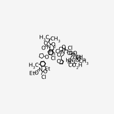 CC(C)=C1OC(=O)N(c2cc(OC3CCCC3)c(Cl)cc2F)C1=O.CC1(C)OC(c2ccco2)CN1C(=O)C(Cl)Cl.CCOCN(C(=O)CCl)c1c(C)cccc1CC.C[S+](C)C.O=C(O)CNCP(=O)([O-])O